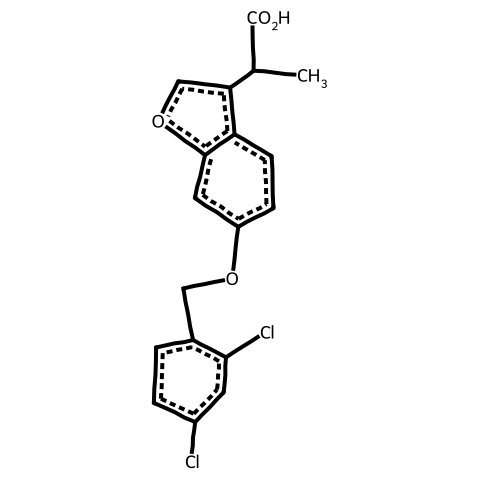 CC(C(=O)O)c1coc2cc(OCc3ccc(Cl)cc3Cl)ccc12